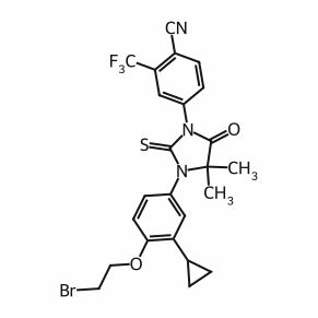 CC1(C)C(=O)N(c2ccc(C#N)c(C(F)(F)F)c2)C(=S)N1c1ccc(OCCBr)c(C2CC2)c1